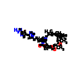 B[C@@H]1[C@@H](C)C(=O)[C@@H](C)C(=O)O[C@H](CC)[C@@]2(C)OC(=O)N(CCCCn3cc(-c4cnc(N)s4)nn3)[C@]2(CC)N(C)CC[C@@H](C)C[C@@]1(C)OC